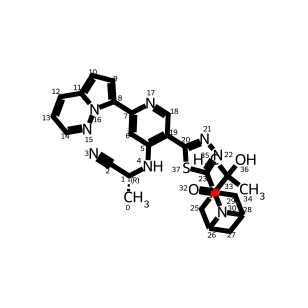 C[C@H](C#N)Nc1cc(-c2ccc3cccnn23)ncc1-c1nnc(N2CC3CC(C2)N3C(=O)C(C)(C)O)s1